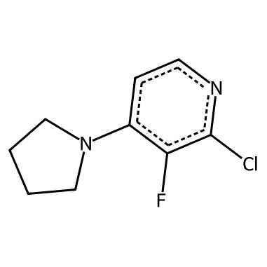 Fc1c(N2CCCC2)ccnc1Cl